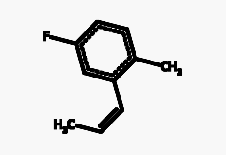 C/C=C\c1cc(F)ccc1C